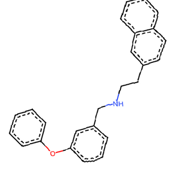 c1ccc(Oc2cccc(CNCCc3ccc4ccccc4c3)c2)cc1